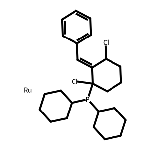 ClC1CCCC(Cl)(P(C2CCCCC2)C2CCCCC2)C1=Cc1ccccc1.[Ru]